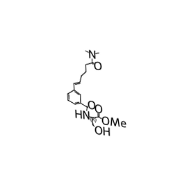 COC(=O)[C@@H](CO)NC(=O)c1cccc(C=CCCCC(=O)N(C)C)c1